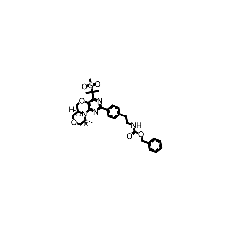 C[C@@H]1COC[C@H]2COc3c(nc(-c4ccc(CCNC(=O)OCc5ccccc5)cc4)nc3C(C)(C)S(C)(=O)=O)N21